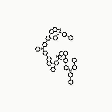 c1ccc(-c2ccc(-c3nc4ccc5ccc(-c6ccc(-c7ccc(N(c8ccccc8)c8ccc(-c9ccc%10c(-c%11cc(-c%12nc%13ccc%14cccc(-c%15ccc(-c%16cccc(N(c%17ccc(-c%18ccccc%18)cc%17)c%17cccc(-c%18ccccc%18)c%17)c%16)cc%15)c%14c%13o%12)ccc%11-c%11ccccc%11)cccc%10c9)cc8)cc7)cc6-c6ccccc6)cc5c4o3)cc2)cc1